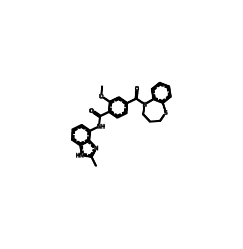 COc1cc(C(=O)N2CCCSc3ccccc32)ccc1C(=O)Nc1cccc2[nH]c(C)nc12